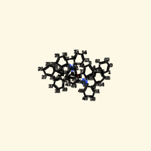 c1ccc(-c2ccc3c4c(-n5c6ccccc6c6cccc([Si](c7ccccc7)(c7ccccc7)c7ccccc7)c65)cccc4n(-c4ccccc4-c4ccccc4)c3c2)cc1